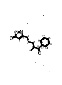 CC(CCCC1=CC(=O)N=N1)C(=O)c1ccccc1